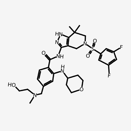 CN(CCO)Cc1ccc(C(=O)Nc2n[nH]c3c2CN(S(=O)(=O)c2cc(F)cc(F)c2)CC3(C)C)c(NC2CCOCC2)c1